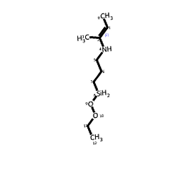 C/C=C(\C)NCCC[SiH2]OOCC